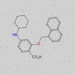 O=C(O)c1ccc(NC2CCCCC2)cc1OCc1cccc2ccccc12